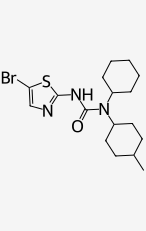 CC1CCC(N(C(=O)Nc2ncc(Br)s2)C2CCCCC2)CC1